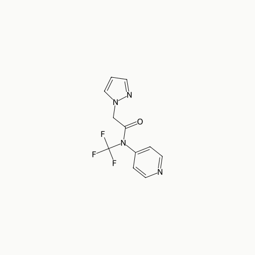 O=C(Cn1cccn1)N(c1ccncc1)C(F)(F)F